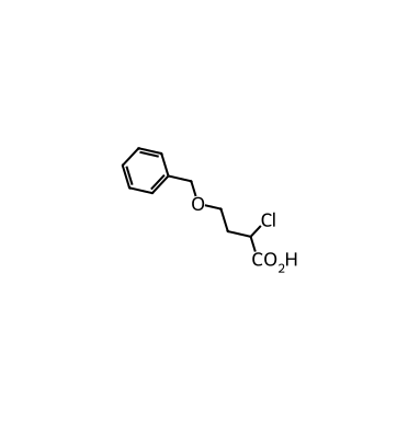 O=C(O)C(Cl)CCOCc1ccccc1